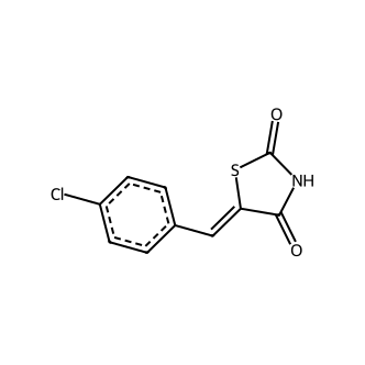 O=C1NC(=O)/C(=C/c2ccc(Cl)cc2)S1